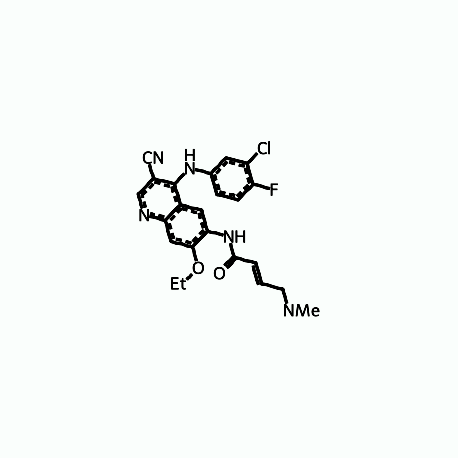 CCOc1cc2ncc(C#N)c(Nc3ccc(F)c(Cl)c3)c2cc1NC(=O)/C=C/CNC